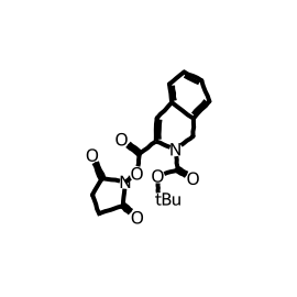 CC(C)(C)OC(=O)N1Cc2ccccc2C=C1C(=O)ON1C(=O)CCC1=O